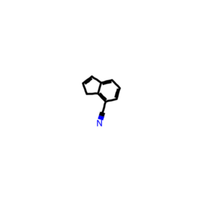 N#Cc1cccc2c1CC=C2